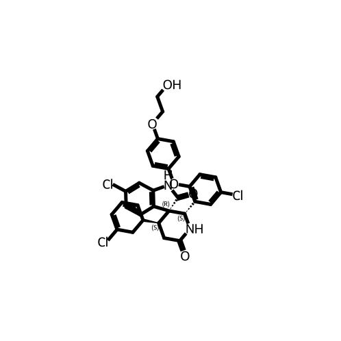 O=C1C[C@@H](C2C=CC=C(Cl)C2)[C@]2(C(=O)Nc3cc(Cl)ccc32)[C@H](c2cc(Cl)ccc2Oc2ccc(OCCO)cc2)N1